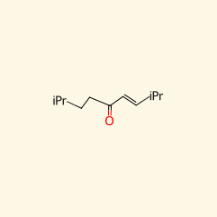 CC(C)C=CC(=O)CCC(C)C